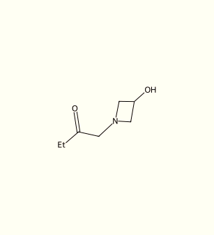 CCC(=O)CN1CC(O)C1